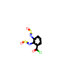 O=S=Nc1cccc(C(=O)Cl)c1N=S=O